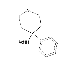 CC(=O)NC1(c2ccccc2)CC[N]CC1